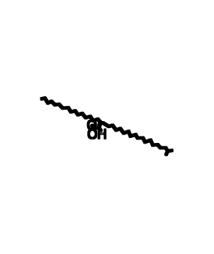 CCCCCCCCCCCCCCCCC(CCCCCCCCCCCCCCCCCC(C)C)=C(C)C(=O)O